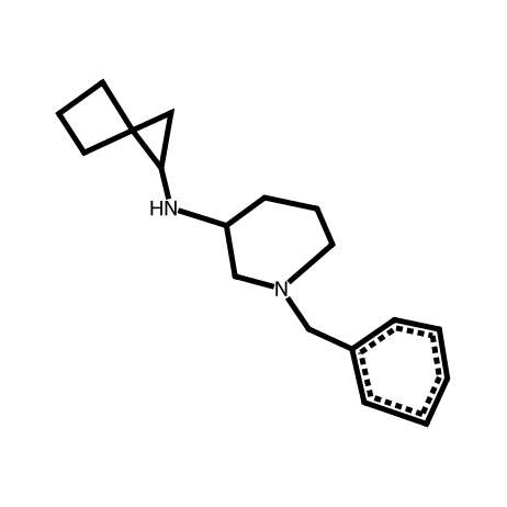 c1ccc(CN2CCCC(NC3CC34CCC4)C2)cc1